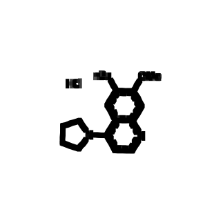 CCCCc1cc2c(N3CCCC3)ccnc2cc1OC.Cl